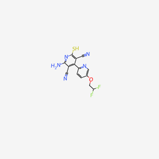 N#Cc1c(N)nc(S)c(C#N)c1-c1ccc(OCC(F)F)cn1